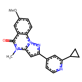 COc1ccc2c(c1)c(=O)n(C)c1cc(-c3ccnc(C4CC4)c3)nn21